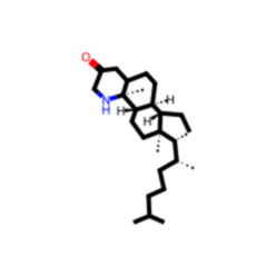 CC(C)CCC[C@@H](C)[C@H]1CC[C@H]2[C@@H]3CCC4CC(=O)CN[C@]4(C)[C@H]3CC[C@]12C